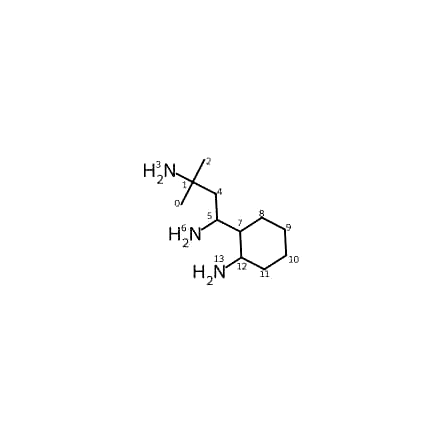 CC(C)(N)CC(N)C1CCCCC1N